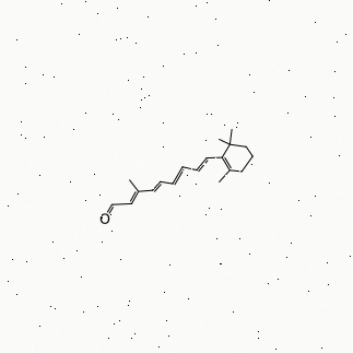 CC1=C(/C=C/C=C/C=C/C(C)=C/C=O)C(C)(C)CCC1